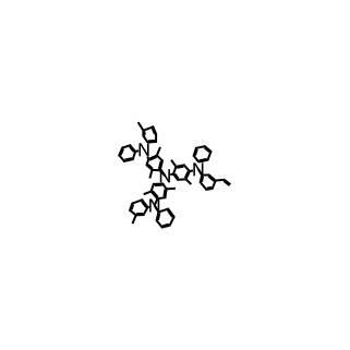 C=Cc1cccc(N(c2ccccc2)c2cc(C)c(N(c3cc(C)c(N(c4ccccc4)c4cccc(C)c4)cc3C)c3cc(C)c(N(c4ccccc4)c4cccc(C)c4)cc3C)cc2C)c1